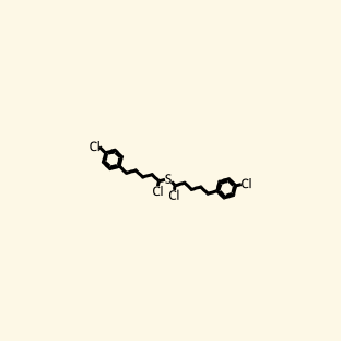 Clc1ccc(CCCCC(Cl)SC(Cl)CCCCc2ccc(Cl)cc2)cc1